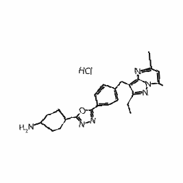 CCc1nn2c(C)cc(C)nc2c1Cc1ccc(-c2nnc(C3CCC(N)CC3)o2)cc1.Cl